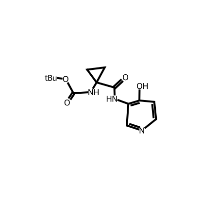 CC(C)(C)OC(=O)NC1(C(=O)Nc2cnccc2O)CC1